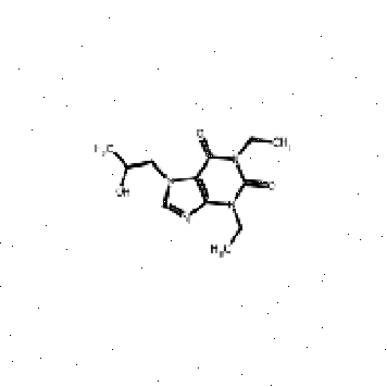 CCn1c(=O)c2c(ncn2CC(C)O)n(CC)c1=O